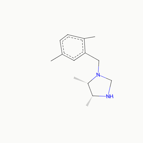 Cc1ccc(C)c(CN2CN[C@H](C)[C@@H]2C)c1